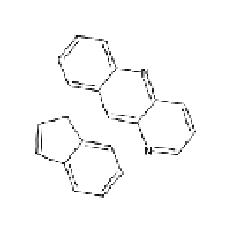 C1=Cc2ccccc2C1.c1ccc2nc3cccnc3cc2c1